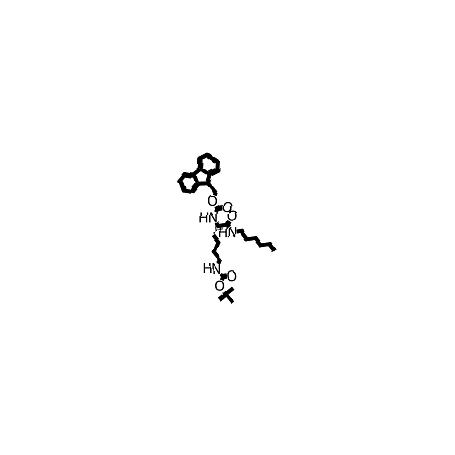 CCCCCCNC(=O)[C@H](CCCCNC(=O)OC(C)(C)C)NC(=O)OCC1c2ccccc2-c2ccccc21